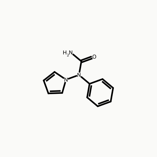 NC(=O)N(c1ccccc1)n1cccc1